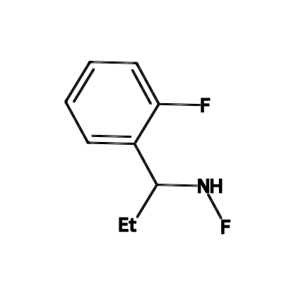 CCC(NF)c1ccccc1F